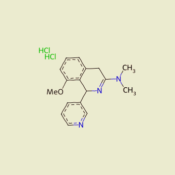 COc1cccc2c1C(c1cccnc1)N=C(N(C)C)C2.Cl.Cl